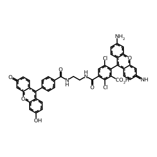 N=c1ccc2c(-c3c(Cl)cc(C(=O)NCCNC(=O)c4ccc(-c5c6ccc(=O)cc-6oc6cc(O)ccc56)cc4)c(Cl)c3C(=O)O)c3ccc(N)cc3oc-2c1